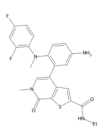 CCNC(=O)c1cc2c(-c3cc(N)ccc3N(C)c3ccc(F)cc3F)cn(C)c(=O)c2s1